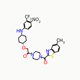 Cc1ccc2sc(C(=O)N3CCN(C(=O)CO[C@H]4CC[C@H](Nc5ccc([N+](=O)[O-])c(C(F)(F)F)c5)CC4)CC3)nc2c1